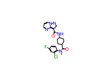 CN(C(=O)C1CCC(NC(=O)c2cnn3cccnc23)CC1)c1ccc(F)cc1Cl